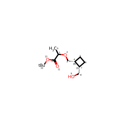 CC(OC[C@@H]1CC[C@@H]1CO)C(=O)OC(C)(C)C